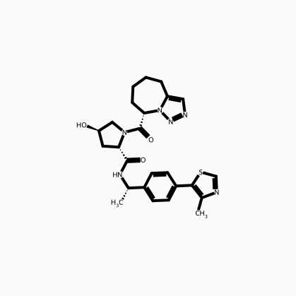 Cc1ncsc1-c1ccc([C@H](C)NC(=O)[C@@H]2C[C@@H](O)CN2C(=O)[C@@H]2CCCCc3cnnn32)cc1